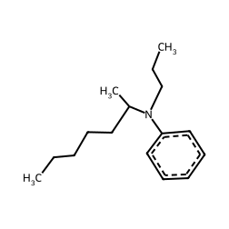 CCCCCC(C)N(CCC)c1ccccc1